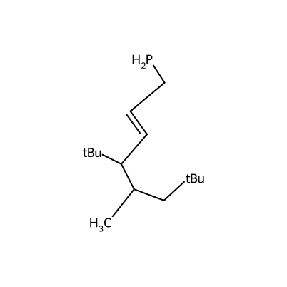 CC(CC(C)(C)C)C(C=CCP)C(C)(C)C